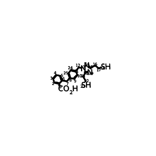 O=C(O)c1ccccc1Cc1ccc(Cn2nc(CCS)nc2CCS)cc1